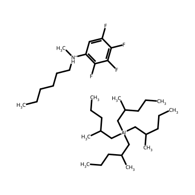 CCCC(C)[CH2][Al-]([CH2]C(C)CCC)([CH2]C(C)CCC)[CH2]C(C)CCC.CCCCCC[NH+](C)c1cc(F)c(F)c(F)c1F